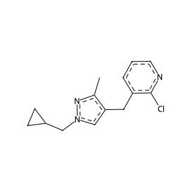 Cc1nn(CC2CC2)cc1Cc1cccnc1Cl